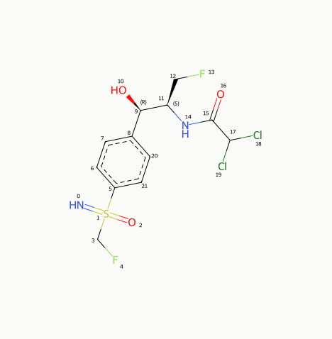 N=S(=O)(CF)c1ccc([C@@H](O)[C@@H](CF)NC(=O)C(Cl)Cl)cc1